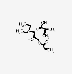 C=C(C)C(=O)O.C=CC(=O)OCC(O)CN(CC)CC